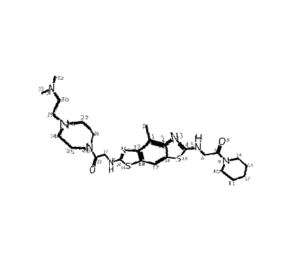 Cc1c2nc(NCC(=O)N3CCCCC3)sc2cc2sc(NCC(=O)N3CCN(CCN(C)C)CC3)nc12